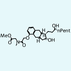 CCCCC[C@@H](O)CC[C@@H]1[C@H]2Cc3cccc(OCC(=O)N(C)CC(=O)OC)c3C[C@H]2C[C@H]1O